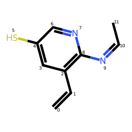 C=Cc1cc(S)cnc1/N=C\C